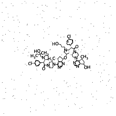 C[C@@H]1C[C@@H](O)c2ncnc(N3CCN(C(=O)[C@@H](c4ccc(Cl)cc4)[C@@H]4CC(O[C@@H]5C[C@@H](C)c6c5ncnc6N5CCN(C(=O)[C@@H](c6ccc(Cl)cc6)[C@@H]6CCCN6CC(C)(C)O)CC5)CN4CCCO)CC3)c21